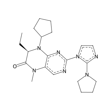 CC[C@@H]1C(=O)N(C)c2cnc(-n3ccnc3N3CCCC3)nc2N1C1CCCC1